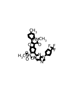 CNC(=O)c1c(-c2ccc(C)cc2)oc2cc(N(C)S(C)(=O)=O)c(-c3ncc4ncn(-c5ccc(C(F)(F)F)cc5)c4n3)cc12